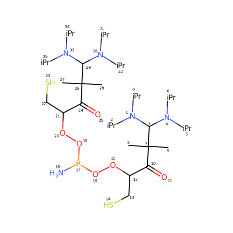 CC(C)N(C(C)C)C(N(C(C)C)C(C)C)C(C)(C)C(=O)C(CS)OOP(N)OOC(CS)C(=O)C(C)(C)C(N(C(C)C)C(C)C)N(C(C)C)C(C)C